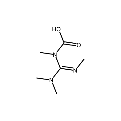 CN=C(N(C)C)N(C)C(=O)O